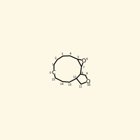 C1CCCCC2OC2C2COCC2CCC1